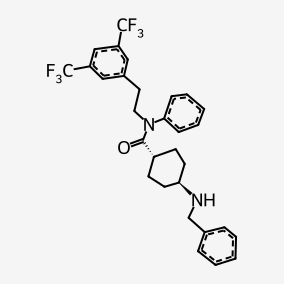 O=C([C@H]1CC[C@H](NCc2ccccc2)CC1)N(CCc1cc(C(F)(F)F)cc(C(F)(F)F)c1)c1ccccc1